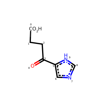 O=C(O)CCC(=O)c1cnc[nH]1